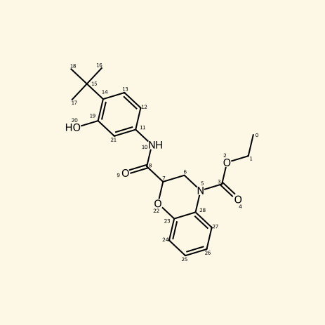 CCOC(=O)N1CC(C(=O)Nc2ccc(C(C)(C)C)c(O)c2)Oc2ccccc21